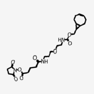 O=C(CCCC(=O)ON1C(=O)CCC1=O)NCCCOCCNC(=O)OCC1C2CC/C=C\CCC21